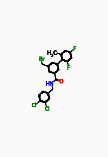 Cc1cc(F)cc(F)c1-c1cc(CBr)cc(C(=O)NCc2ccc(Cl)c(Cl)c2)c1